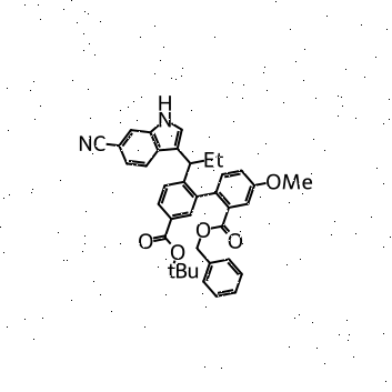 CCC(c1ccc(C(=O)OC(C)(C)C)cc1-c1ccc(OC)cc1C(=O)OCc1ccccc1)c1c[nH]c2cc(C#N)ccc12